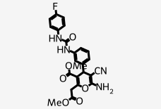 COC(=O)CC1=C(C(=O)OC)C(c2cccc(NC(=O)Nc3ccc(F)cc3)c2)C(C#N)=C(N)O1